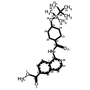 COC(=O)c1ccc2c(NC(=O)C3CCC(O[Si](C)(C)C(C)(C)C)CC3)nccc2c1